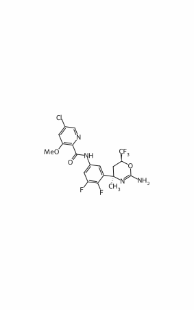 COc1cc(Cl)cnc1C(=O)Nc1cc(F)c(F)c([C@@]2(C)C[C@@H](C(F)(F)F)OC(N)=N2)c1